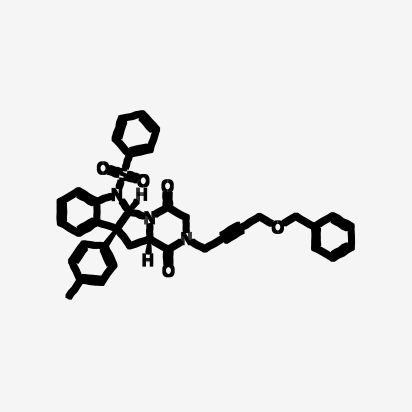 Cc1ccc([C@]23C[C@H]4C(=O)N(CC#CCOCc5ccccc5)CC(=O)N4[C@H]2N(S(=O)(=O)c2ccccc2)c2ccccc23)cc1